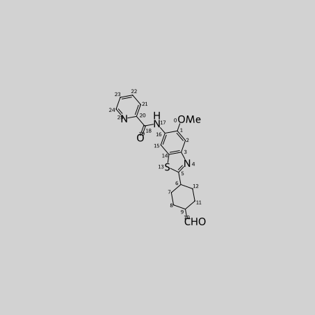 COc1cc2nc(C3CCC(C=O)CC3)sc2cc1NC(=O)c1ccccn1